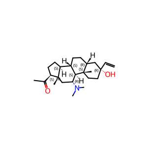 C=C[C@@]1(O)CC[C@@]2(C)[C@H](CC[C@@H]3[C@@H]2[C@H](N(C)C)C[C@]2(C)[C@@H](C(C)=O)CC[C@@H]32)C1